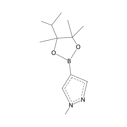 CC(C)C1(C)OB(c2cnn(C)c2)OC1(C)C